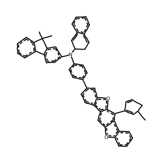 CC1C=C(c2c3oc4cc(-c5ccc(N(c6ccc7c(c6)C(C)(C)c6ccccc6-7)C6C=c7ccccc7=CC6)cc5)ccc4c3cc3oc4ccccc4c23)C=CC1